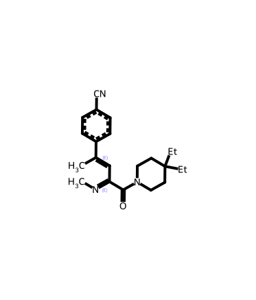 CCC1(CC)CCN(C(=O)C(/C=C(\C)c2ccc(C#N)cc2)=N/C)CC1